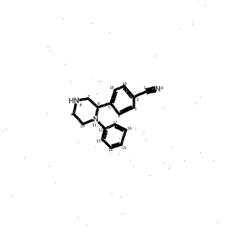 N#Cc1ccc(C2CNCCN2c2ccccc2)cc1